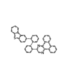 c1ccc(-c2ccccc2-c2cnc3c4ccccc4c4ccccc4c3n2)c(-c2ccc3sc4ccccc4c3c2)c1